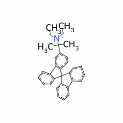 CCN(CC)C(C)(C)c1ccc2c(c1)-c1ccccc1C21c2ccccc2-c2ccccc21